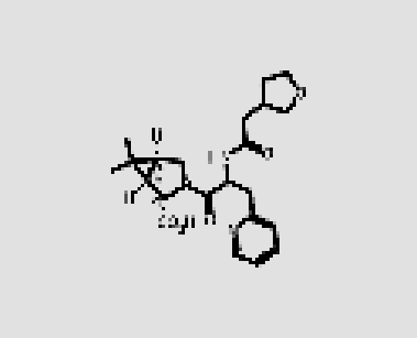 CC1(C)[C@@H]2[C@@H](C(=O)O)N(C(=O)C(Cc3ccccn3)NC(=O)CC3CCOC3)C[C@@H]21